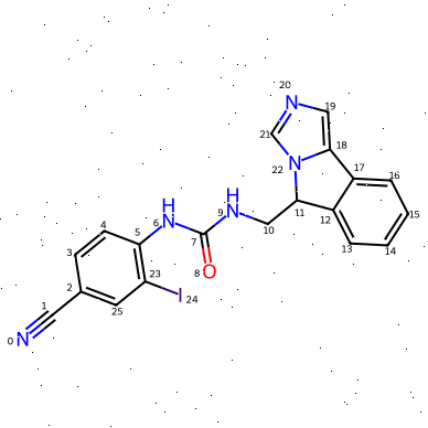 N#Cc1ccc(NC(=O)NCC2c3ccccc3-c3cncn32)c(I)c1